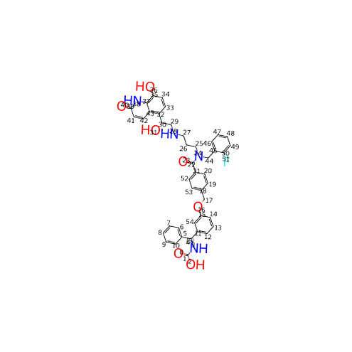 O=C(O)N[C@@H](c1ccccc1)c1cccc(OCc2ccc(C(=O)N(CCCNCC(O)c3ccc(O)c4[nH]c(=O)ccc34)Cc3ccccc3F)cc2)c1